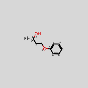 [CH2]C[C@H](O)CCOc1ccccc1